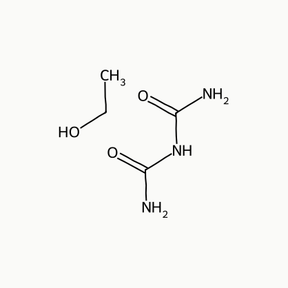 CCO.NC(=O)NC(N)=O